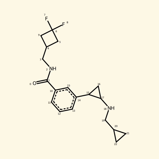 O=C(NCC1CC(F)(F)C1)c1cccc(C2CC2NCC2CC2)c1